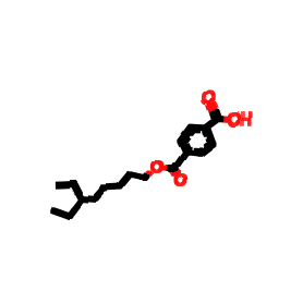 CCC(CC)CCCCCOC(=O)c1ccc(C(=O)O)cc1